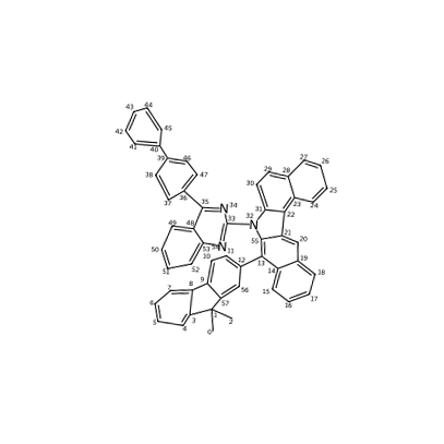 CC1(C)c2ccccc2-c2ccc(-c3c4ccccc4cc4c5c6ccccc6ccc5n(-c5nc(-c6ccc(-c7ccccc7)cc6)c6ccccc6n5)c34)cc21